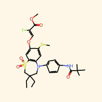 CCC1(CC)CN(c2ccc(NC(=O)C(C)(C)C)cc2)c2cc(SC)c(O/C=C(\F)C(=O)OC)cc2S(=O)(=O)C1